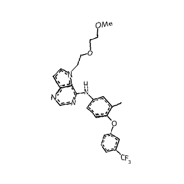 COCCOCCn1ccc2ncnc(Nc3ccc(Oc4cccc(C(F)(F)F)c4)c(C)c3)c21